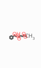 COC(=O)C=CC(=O)OCC(O)c1ccccc1